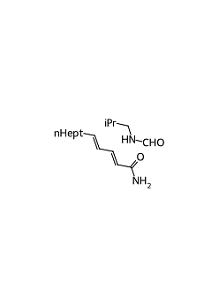 CC(C)CNC=O.CCCCCCCC=CC=CC(N)=O